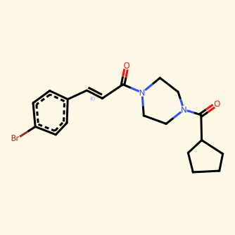 O=C(/C=C/c1ccc(Br)cc1)N1CCN(C(=O)C2CCCC2)CC1